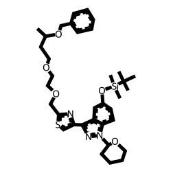 CC(CCOCCOCc1nc(-c2nn(C3CCCCO3)c3ccc(O[Si](C)(C)C(C)(C)C)cc23)cs1)OCc1ccccc1